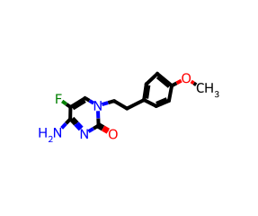 COc1ccc(CCn2cc(F)c(N)nc2=O)cc1